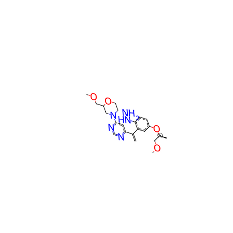 C=C(c1cc(N2CCOC(COC)C2)ncn1)c1cc(O[C@@H](C)COC)ccc1NN